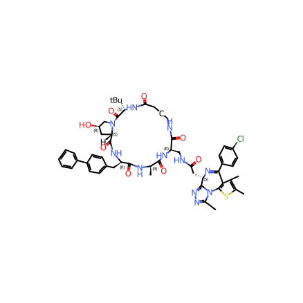 Cc1sc2c(c1C)C(c1ccc(Cl)cc1)=N[C@@H](CC(=O)NC[C@H]1NC(=O)[C@@H](C)NC(=O)[C@@H](Cc3ccc(-c4ccccc4)cc3)NC(=O)[C@@H]3C[C@@H](O)CN3C(=O)[C@H](C(C)(C)C)NC(=O)CCCNC1=O)c1nnc(C)n1-2